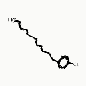 OCCCCCCCCCCc1ccc(Cl)cc1